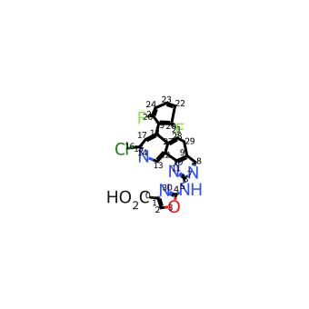 O=C(O)c1coc(Nc2ncc3c(n2)C2=CN=C(Cl)C=C(c4c(F)cccc4F)C2=CC3)n1